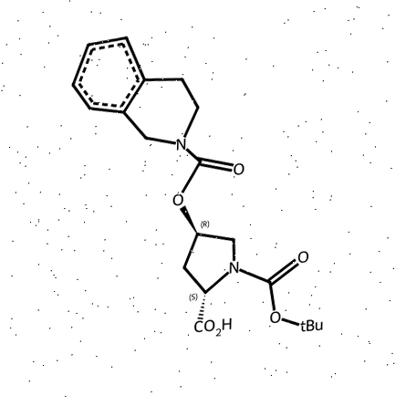 CC(C)(C)OC(=O)N1C[C@H](OC(=O)N2CCc3ccccc3C2)C[C@H]1C(=O)O